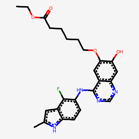 CCOC(=O)CCCCCOc1cc2c(Nc3ccc4[nH]c(C)cc4c3F)ncnc2cc1O